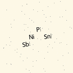 [Ni].[P].[Sb].[Sn]